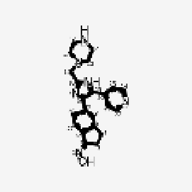 ON=C1CCc2cc(-c3nc(CN4CCNCC4)[nH]c3-c3ccncc3)ccc21